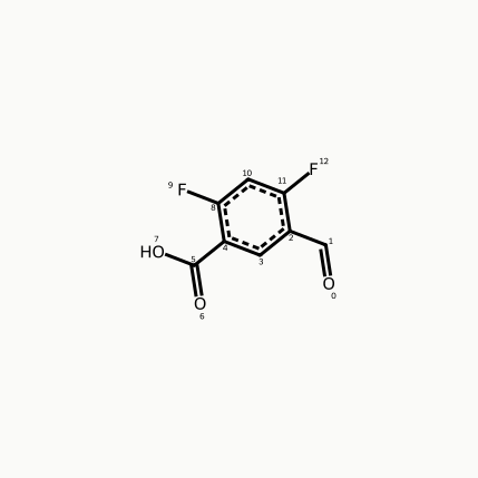 O=Cc1cc(C(=O)O)c(F)cc1F